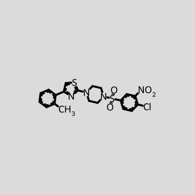 Cc1ccccc1-c1csc(N2CCN(S(=O)(=O)c3ccc(Cl)c([N+](=O)[O-])c3)CC2)n1